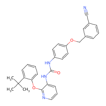 CC(C)(C)c1ccccc1Oc1ncccc1NC(=O)Nc1ccc(OCc2cccc(C#N)c2)cc1